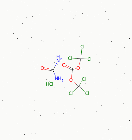 Cl.NC(N)=O.O=C(OC(Cl)(Cl)Cl)OC(Cl)(Cl)Cl